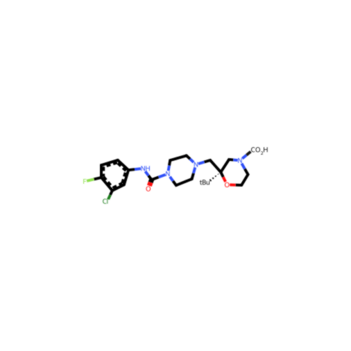 CC(C)(C)[C@]1(CN2CCN(C(=O)Nc3ccc(F)c(Cl)c3)CC2)CN(C(=O)O)CCO1